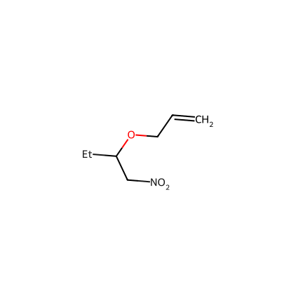 C=CCOC(CC)C[N+](=O)[O-]